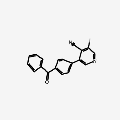 N#Cc1c(I)cncc1-c1ccc(C(=O)c2ccccc2)cc1